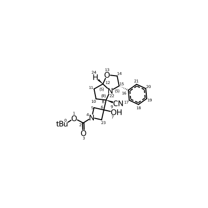 CC(C)(C)OC(=O)N1CC(O)([C@]2(C#N)CC[C@@H]3OC[C@H](c4ccccc4)N32)C1